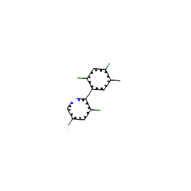 O=Cc1cc(-c2ncc([N+](=O)[O-])cc2Cl)c(F)cc1Cl